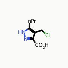 CCCc1[nH]nc(C(=O)O)c1CCl